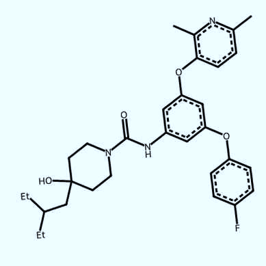 CCC(CC)CC1(O)CCN(C(=O)Nc2cc(Oc3ccc(F)cc3)cc(Oc3ccc(C)nc3C)c2)CC1